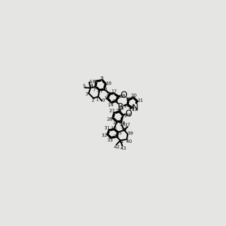 CC1CCC(C)(C)c2cccc(-c3ccc4c(c3)Oc3ccnc5c3B4c3ccc(-c4cccc6c4C(C)(C)CCC6(C)C)cc3O5)c21